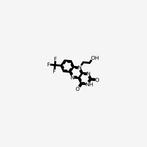 O=c1nc2n(CCO)c3ccc(C(F)(F)F)cc3nc-2c(=O)[nH]1